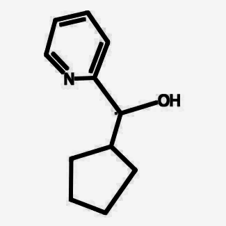 O[C](c1ccccn1)C1CCCC1